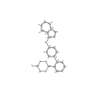 CN1CCN(c2ncccc2-c2ccc(Cn3ccc4cccnc43)cc2)CC1